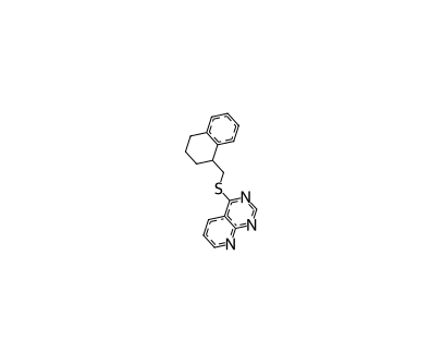 c1ccc2c(c1)CCCC2CSc1ncnc2ncccc12